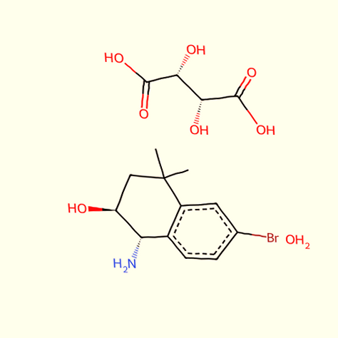 CC1(C)C[C@H](O)[C@@H](N)c2ccc(Br)cc21.O.O=C(O)[C@H](O)[C@@H](O)C(=O)O